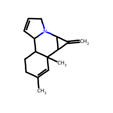 C=C1C2C1C1(C)C=C(C)CCC1C1C=CCN12